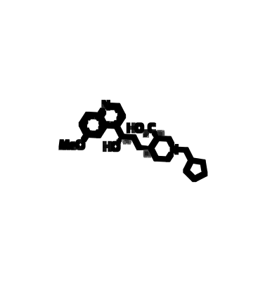 COc1ccc2nccc([C@@H](O)CC[C@@H]3CCN(CC4CCCC4)C[C@@H]3C(=O)O)c2c1